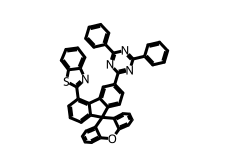 c1ccc(-c2nc(-c3ccccc3)nc(-c3ccc4c(c3)-c3c(-c5nc6ccccc6s5)cccc3C43c4ccccc4Oc4ccccc43)n2)cc1